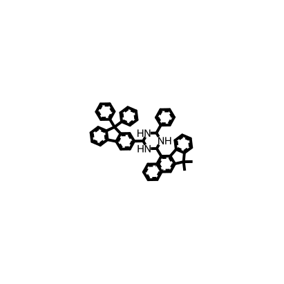 CC1(C)c2ccccc2-c2c1cc1ccccc1c2C1NC(c2ccccc2)NC(c2ccc3c(c2)C(c2ccccc2)(c2ccccc2)c2ccccc2-3)N1